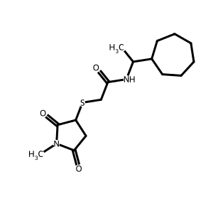 CC(NC(=O)CSC1CC(=O)N(C)C1=O)C1CCCCCC1